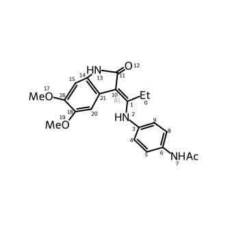 CC/C(Nc1ccc(NC(C)=O)cc1)=C1\C(=O)Nc2cc(OC)c(OC)cc21